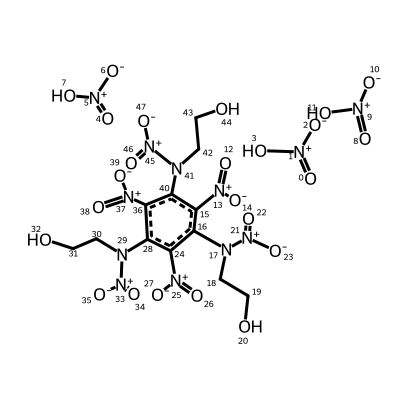 O=[N+]([O-])O.O=[N+]([O-])O.O=[N+]([O-])O.O=[N+]([O-])c1c(N(CCO)[N+](=O)[O-])c([N+](=O)[O-])c(N(CCO)[N+](=O)[O-])c([N+](=O)[O-])c1N(CCO)[N+](=O)[O-]